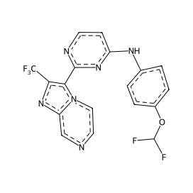 FC(F)Oc1ccc(Nc2ccnc(-c3c(C(F)(F)F)nc4cnccn34)n2)cc1